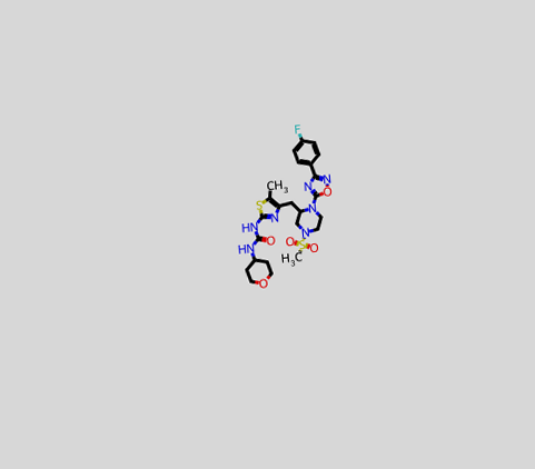 Cc1sc(NC(=O)NC2CCOCC2)nc1CC1CN(S(C)(=O)=O)CCN1c1nc(-c2ccc(F)cc2)no1